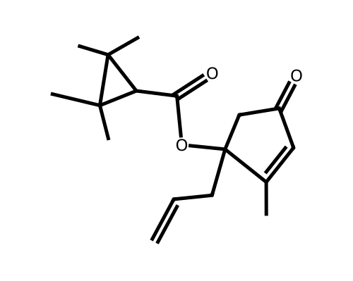 C=CCC1(OC(=O)C2C(C)(C)C2(C)C)CC(=O)C=C1C